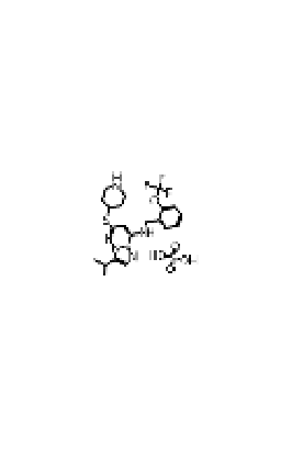 CC(C)c1cnc2c(NCc3ccccc3OC(F)(F)F)cc(SC3CCNCC3)nn12.O=S(=O)(O)O